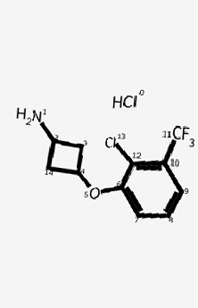 Cl.NC1CC(Oc2cccc(C(F)(F)F)c2Cl)C1